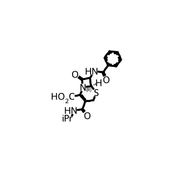 CC(C)NC(=O)C1=C(C(=O)O)N2C(=O)C(NC(=O)c3ccccc3)[C@H]2SC1